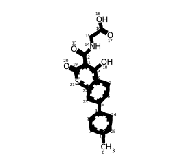 Cc1ccc(-c2ccc3c(O)c(C(=O)NCC(=O)O)c(=O)sc3c2)cc1